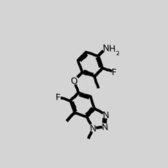 Cc1c(Oc2cc3nnn(C)c3c(C)c2F)ccc(N)c1F